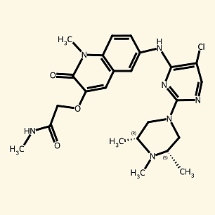 CNC(=O)COc1cc2cc(Nc3nc(N4C[C@@H](C)N(C)[C@@H](C)C4)ncc3Cl)ccc2n(C)c1=O